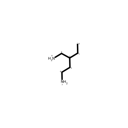 [CH2]CC(CN)CCN